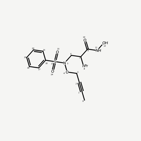 CC#CCON(CC(CCC)C(=O)NO)S(=O)(=O)c1ccccc1